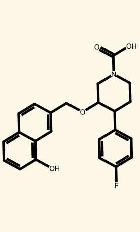 O=C(O)N1CCC(c2ccc(F)cc2)C(OCc2ccc3cccc(O)c3c2)C1